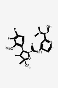 COc1c([C@H]2[C@H](C(=O)Nc3ccnc([C@@H](CO)N(C)C)c3)O[C@@](C)(C(F)(F)F)[C@H]2C)ccc(F)c1F